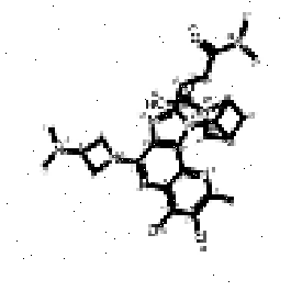 Cc1nc2c(nc(N3CC(N(C)C)C3)c3nc(CCC(=O)N(C)C)n(C4C5CC4N(C(=O)O)C5)c32)c(Cl)c1Cl